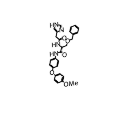 COc1ccc(Oc2ccc(NC(=O)C(COCc3ccccc3)NC(=O)Cc3c[nH]cn3)cc2)cc1